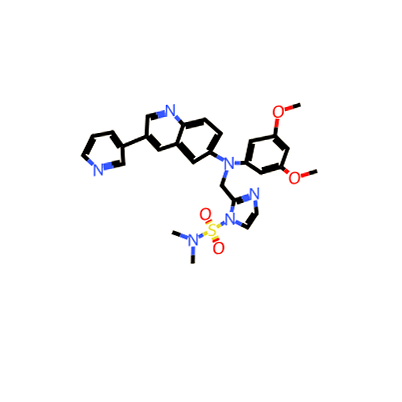 COc1cc(OC)cc(N(Cc2nccn2S(=O)(=O)N(C)C)c2ccc3ncc(-c4cccnc4)cc3c2)c1